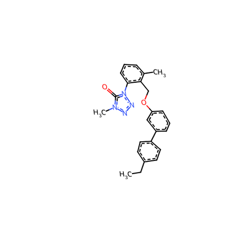 CCc1ccc(-c2cccc(OCc3c(C)cccc3-n3nnn(C)c3=O)c2)cc1